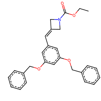 CCOC(=O)N1CC(=Cc2cc(OCc3ccccc3)cc(OCc3ccccc3)c2)C1